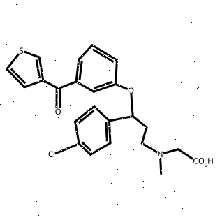 CN(CCC(Oc1cccc(C(=O)c2ccsc2)c1)c1ccc(Cl)cc1)CC(=O)O